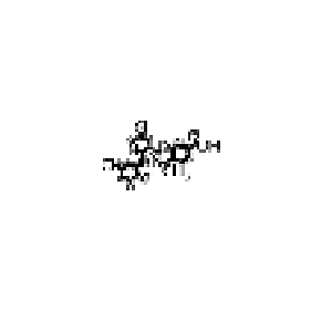 C[C@H](NC(=O)c1cc(Cl)cnc1Oc1cc(Cl)ccc1Cl)c1ccc(C(=O)O)cc1